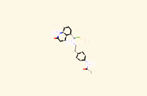 CC(C)C(=O)Nc1ccc(CCNC(CO)c2ccc(O)c3[nH]c(=O)ccc23)cc1.Cl